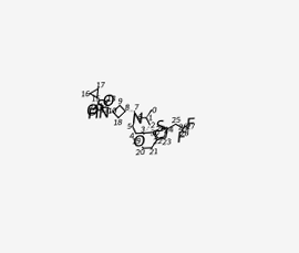 C[C@H]1C[C@@]2(CCN1C[C@H]1C[C@@H](NS(=O)(=O)C3CC3)C1)OCCc1cc(CC(F)F)sc12